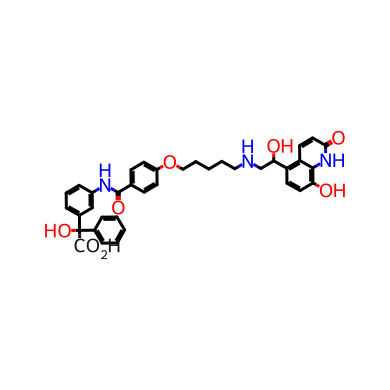 O=C(Nc1cccc(C(O)(C(=O)O)c2ccccc2)c1)c1ccc(OCCCCCNCC(O)c2ccc(O)c3[nH]c(=O)ccc23)cc1